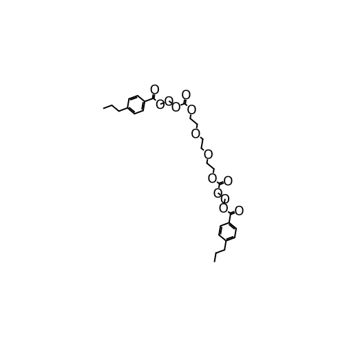 CCCc1ccc(C(=O)OOOC(=O)OCCOCCOCCOC(=O)OOOC(=O)c2ccc(CCC)cc2)cc1